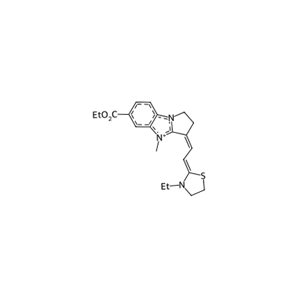 CCOC(=O)c1ccc2c(c1)[n+](C)c1n2CCC1=CC=C1SCCN1CC